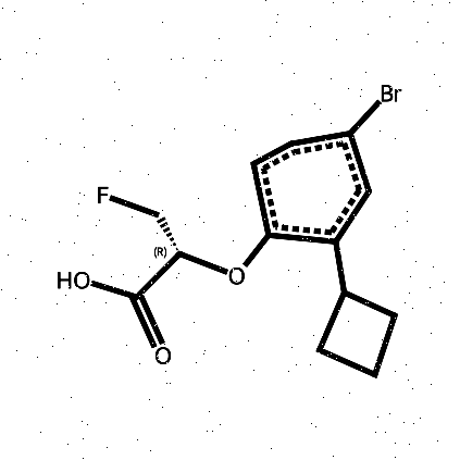 O=C(O)[C@H](CF)Oc1ccc(Br)cc1C1CCC1